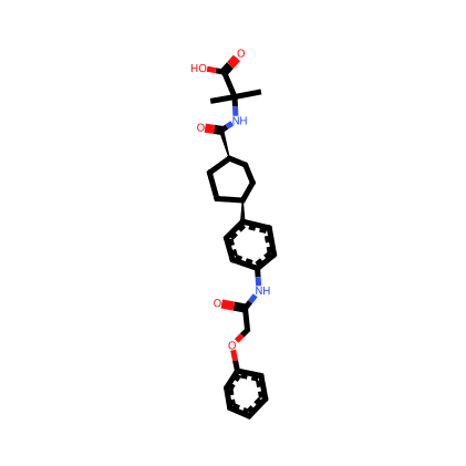 CC(C)(NC(=O)[C@H]1CC[C@@H](c2ccc(NC(=O)COc3ccccc3)cc2)CC1)C(=O)O